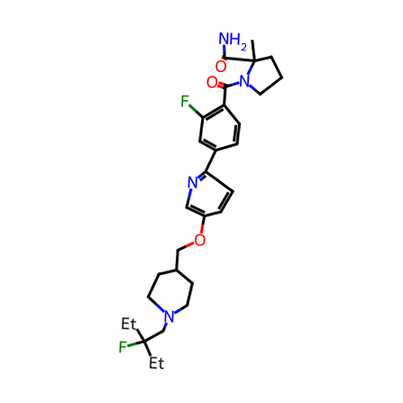 CCC(F)(CC)CN1CCC(COc2ccc(-c3ccc(C(=O)N4CCCC4(C)C(N)=O)c(F)c3)nc2)CC1